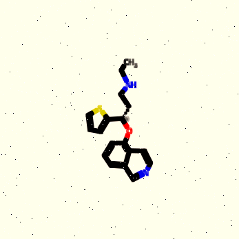 CCNCC[C@H](Oc1cccc2cnccc12)c1cccs1